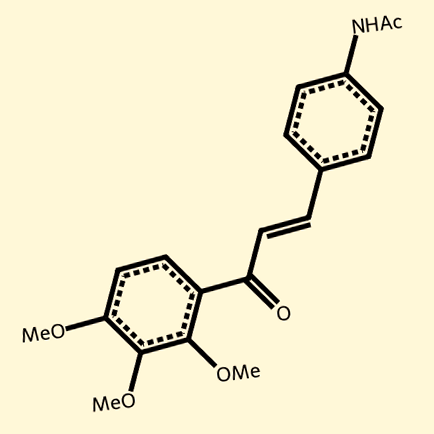 COc1ccc(C(=O)/C=C/c2ccc(NC(C)=O)cc2)c(OC)c1OC